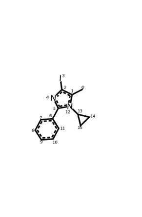 Cc1c(I)nc(-c2ccccc2)n1C1CC1